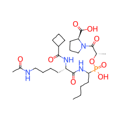 CCCCC(NC(=O)[C@H](CCCCNC(C)=O)NC(=O)C1CCC1)P(=O)(O)O[C@@H](C)C(=O)N1CCC[C@H]1C(=O)O